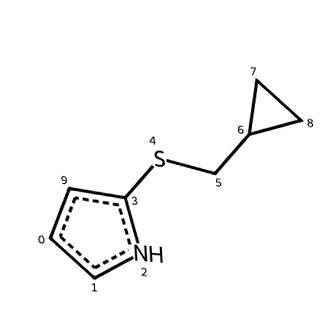 c1c[nH]c(SCC2CC2)c1